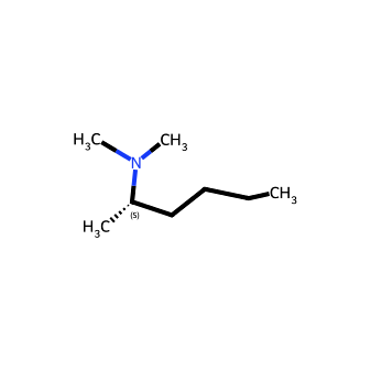 CCCC[C@H](C)N(C)C